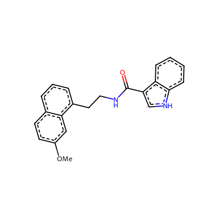 COc1ccc2cccc(CCNC(=O)c3[c][nH]c4ccccc34)c2c1